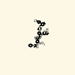 CC1(C)CCC(CN2CCN(c3ccc(C(=O)NS(=O)(=O)c4ccc(N[C@@H]5CCN(C6CCOCC6)C5)c([N+](=O)[O-])c4)c(Oc4cnc5[nH]ccc5c4)c3)CC2)=C(c2ccc(Cl)cc2)C1